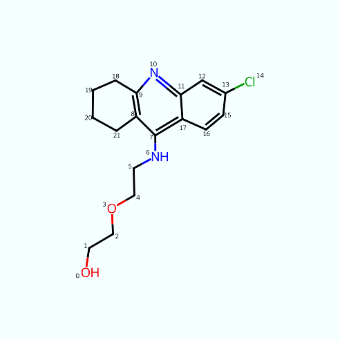 OCCOCCNc1c2c(nc3cc(Cl)ccc13)CCCC2